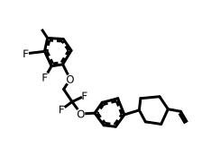 C=CC1CCC(c2ccc(OC(F)(F)COc3ccc(C)c(F)c3F)cc2)CC1